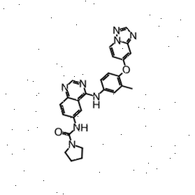 Cc1cc(Nc2ncnc3ccc(NC(=O)N4CCCC4)cc23)ccc1Oc1ccn2ncnc2c1